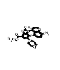 COC(=O)c1cc(N2CCOCC2)cc2c1nc(C)n2-c1ccnc2c(C)ccc(F)c12